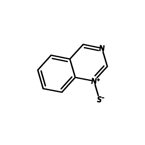 [S-][n+]1cncc2ccccc21